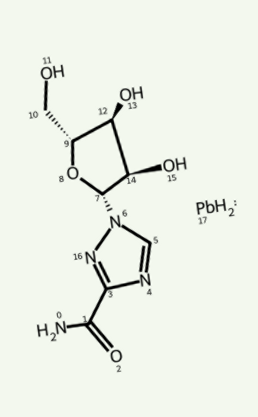 NC(=O)c1ncn([C@@H]2O[C@H](CO)[C@@H](O)[C@H]2O)n1.[PbH2]